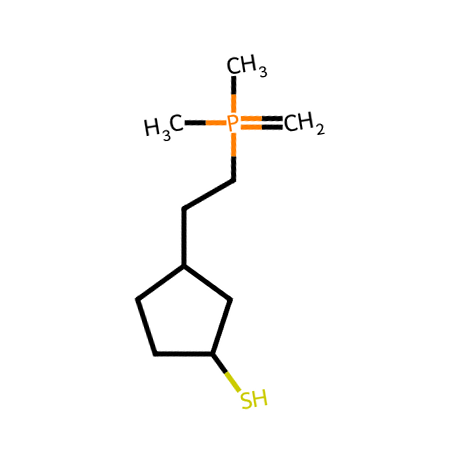 C=P(C)(C)CCC1CCC(S)C1